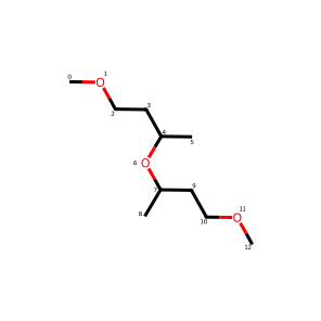 COCCC(C)OC(C)CCOC